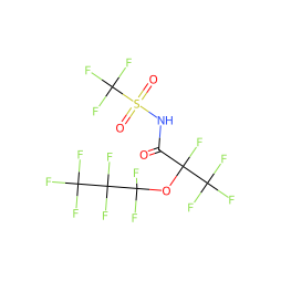 O=C(NS(=O)(=O)C(F)(F)F)C(F)(OC(F)(F)C(F)(F)C(F)(F)F)C(F)(F)F